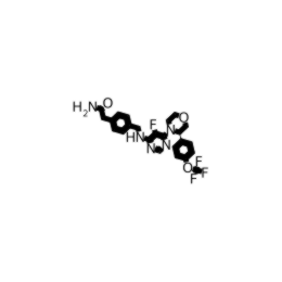 NC(=O)Cc1ccc(CNc2ncnc(N3CCOC[C@@H]3c3ccc(OC(F)(F)F)cc3)c2F)cc1